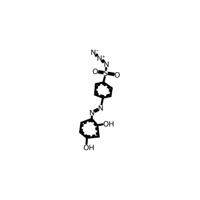 [N-]=[N+]=NS(=O)(=O)c1ccc(N=Nc2ccc(O)cc2O)cc1